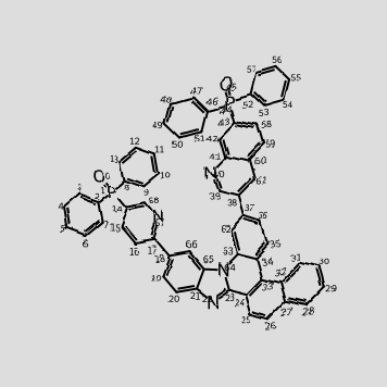 O=P(c1ccccc1)(c1ccccc1)c1ccc(-c2ccc3nc4c5ccc6ccccc6c5c5ccc(-c6cnc7cc(P(=O)(c8ccccc8)c8ccccc8)ccc7c6)cc5n4c3c2)nc1